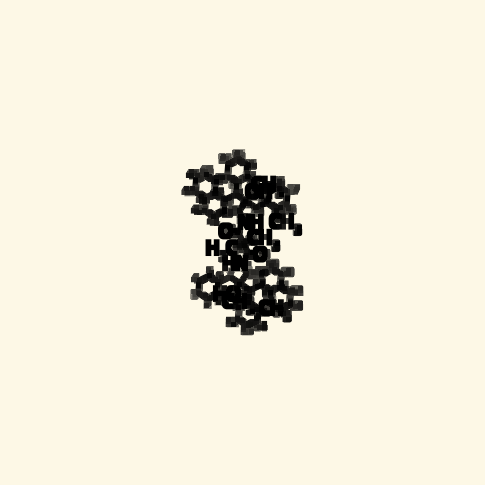 Cc1ccccc1CC(O)(CNC(=O)C(C)(C)C(=O)NCC(O)(Cc1ccccc1C)C(c1ccccc1C)c1cccc2ccccc12)C(c1ccccc1C)c1cccc2ccccc12